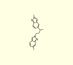 Cc1ccc2cn(CCC(C)c3ccc4nn(C)cc4c3)nc2c1